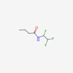 CCCC(=O)NC(F)C(F)F